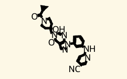 N#Cc1ccc(Nc2cccc(-n3ncc4c(=O)n(CC5(O)CCN(C(=O)C6CC6)CC5)cnc43)c2)nc1